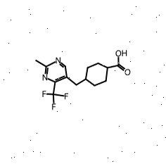 Cc1ncc(CC2CCC(C(=O)O)CC2)c(C(F)(F)F)n1